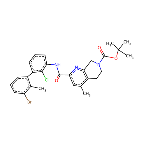 Cc1cc(C(=O)Nc2cccc(-c3cccc(Br)c3C)c2Cl)nc2c1CCN(C(=O)OC(C)(C)C)C2